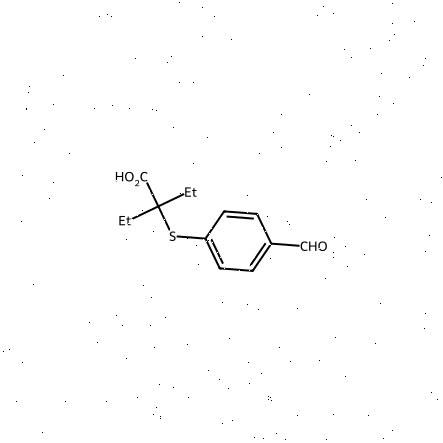 CCC(CC)(Sc1ccc(C=O)cc1)C(=O)O